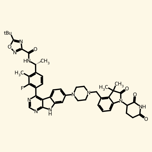 Cc1c([C@@H](C)NC(=O)c2noc(C(C)(C)C)n2)ccc(-c2ncnc3[nH]c4cc(N5CCN(Cc6cccc7c6C(C)(C)C(=O)N7C6CCC(=O)NC6=O)CC5)ccc4c23)c1F